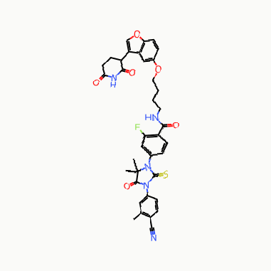 Cc1cc(N2C(=O)C(C)(C)N(c3ccc(C(=O)NCCCCOc4ccc5occ(C6CCC(=O)NC6=O)c5c4)c(F)c3)C2=S)ccc1C#N